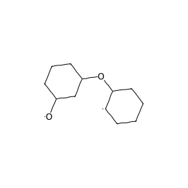 [O]C1CCCC(OC2[CH]CCCC2)C1